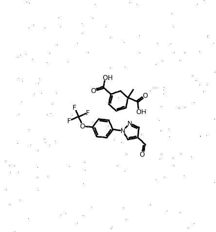 CC1(C(=O)O)C=CC=C(C(=O)O)C1.O=Cc1cnn(-c2ccc(OC(F)(F)F)cc2)c1